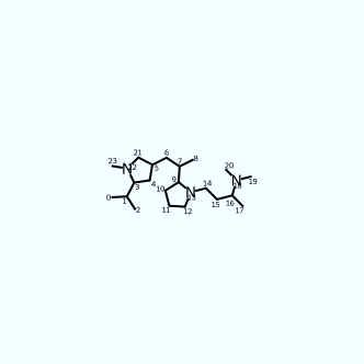 CC(C)C1CC(CC(C)C2CCCN2CCC(C)N(C)C)CN1C